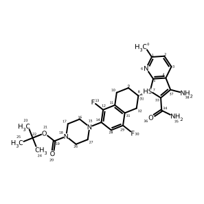 Cc1ccc2c(n1)[SH]([C@H]1CCc3c(F)c(N4CCN(C(=O)OC(C)(C)C)CC4)cc(F)c3C1)C(C(N)=O)=C2N